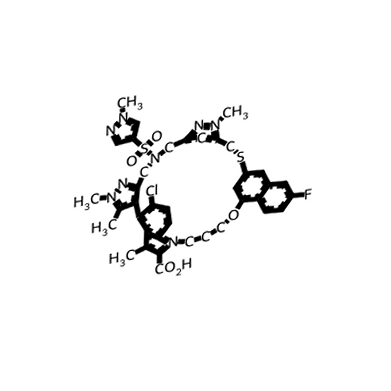 Cc1c(C(=O)O)n2c3ccc(Cl)c(c13)-c1c(nn(C)c1C)CN(S(=O)(=O)c1cnn(C)c1)Cc1cc(n(C)n1)CSc1cc(c3ccc(F)cc3c1)OCCC2